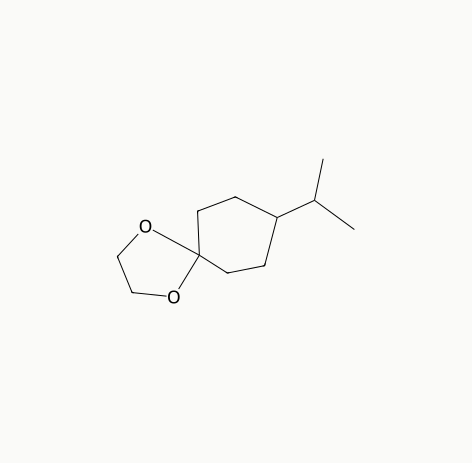 CC(C)C1CCC2(CC1)OCCO2